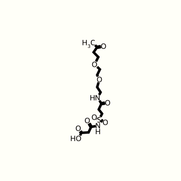 CC(=O)CCOCCOCCNC(=O)CCS(=O)(=O)NC(=O)CC(=O)O